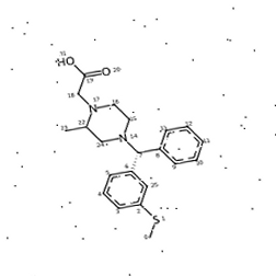 CSc1cccc([C@@H](c2ccccc2)N2CCN(CC(=O)O)C(C)C2)c1